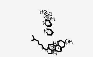 CC(C)CCC[C@@H](C)[C@H]1CC[C@H]2[C@@H]3CC=C4C[C@@H](O)CC[C@]4(C)[C@H]3CC[C@]12C.O=S(=O)(O)O.c1ccncc1.c1ccncc1